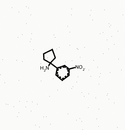 NC1(c2cccc([N+](=O)[O-])c2)CCCC1